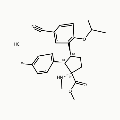 CN[C@@]1(C(=O)OC)CC[C@H](c2cc(C#N)ccc2OC(C)C)[C@H]1c1ccc(F)cc1.Cl